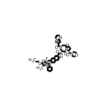 CCCOC(=O)[C@H](C)NP(=O)(Oc1ccccc1)C(F)c1ccc2ccc(C(=O)N[C@H]3CN(C(=O)c4cc5ncccn5n4)CC[C@H]4CC[C@@H](C(=O)N5CCOCC5)N4C3=O)cc2c1